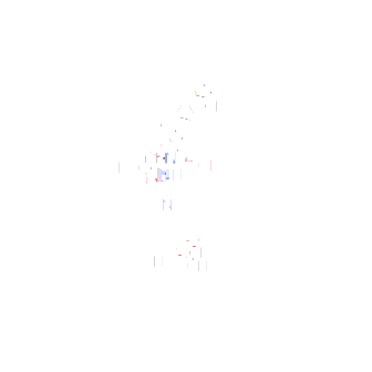 Cc1ncsc1-c1ccc(C(C)NC(=O)[C@@H]2C[C@@H](O)CN2C(=O)C(NC(=O)CCN2CCC(CCC(=O)OC(C)(C)C)CC2)C(C)(C)C)cc1